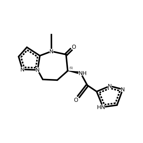 CN1C(=O)[C@@H](NC(=O)c2nnc[nH]2)CCn2nccc21